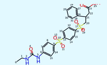 CCNC(=O)Nc1ccc(S(=O)(=O)c2ccc(S(=O)(=O)CC(CC(=O)O)c3ccccc3)cc2)cc1